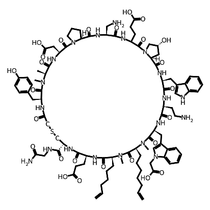 C=CCCCCC[C@H]1C(=O)N(C)[C@@H](CCCCC=C)C(=O)N[C@@H](CCC(=O)O)C(=O)N[C@H](C(=O)NCC(N)=O)CSCC(=O)N[C@@H](Cc2ccc(O)cc2)C(=O)N(C)[C@@H](C)C(=O)N[C@@H](CC(=O)O)C(=O)N2CCC[C@H]2C(=O)N[C@@H](CN)C(=O)NC(CCC(=O)O)C(=O)N2C[C@H](O)C[C@H]2C(=O)N[C@@H](Cc2c[nH]c3ccccc23)C(=O)N[C@@H](CCN)C(=O)N[C@@H](Cc2cn(CC(=O)O)c3ccccc23)C(=O)N1C